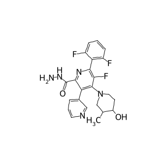 CC1CN(c2c(F)c(-c3c(F)cccc3F)nc(C(=O)NN)c2-c2cccnc2)CCC1O